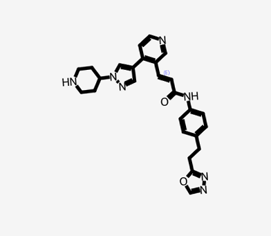 O=C(/C=C/c1cnccc1-c1cnn(C2CCNCC2)c1)Nc1ccc(CCc2nnco2)cc1